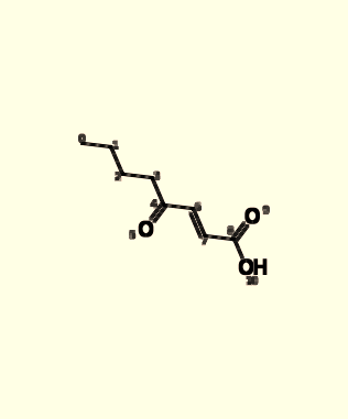 CCCCC(=O)C=CC(=O)O